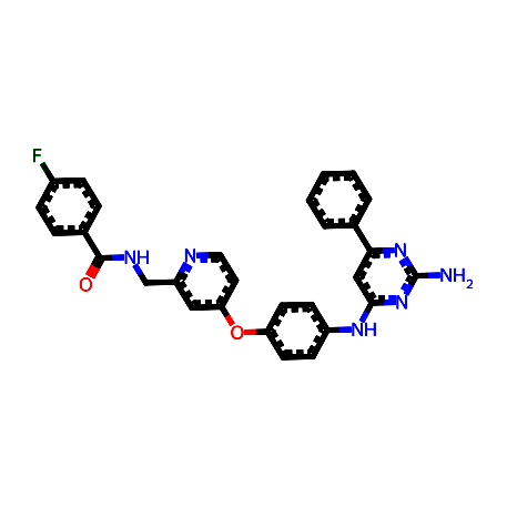 Nc1nc(Nc2ccc(Oc3ccnc(CNC(=O)c4ccc(F)cc4)c3)cc2)cc(-c2ccccc2)n1